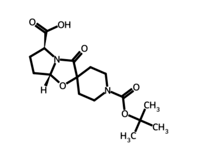 CC(C)(C)OC(=O)N1CCC2(CC1)O[C@@H]1CC[C@@H](C(=O)O)N1C2=O